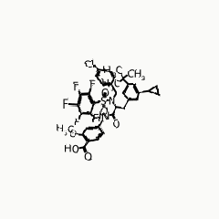 COc1cc(NC(=O)C(Cc2cc(C3CC3)cc(C(C)(C)C)c2)N(Cc2ccc(Cl)cc2)S(=O)(=O)c2c(F)c(F)c(F)c(F)c2F)ccc1C(=O)O